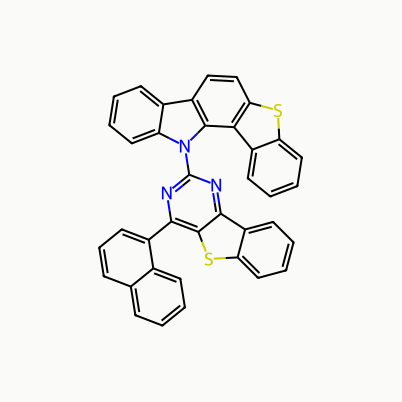 c1ccc2c(-c3nc(-n4c5ccccc5c5ccc6sc7ccccc7c6c54)nc4c3sc3ccccc34)cccc2c1